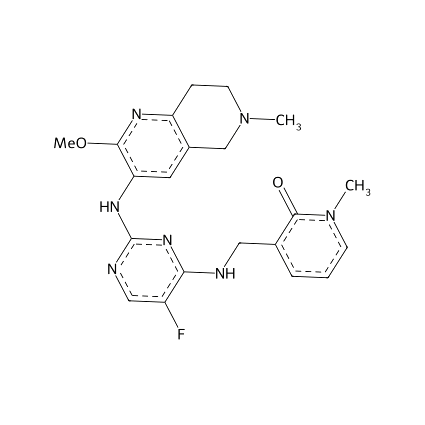 COc1nc2c(cc1Nc1ncc(F)c(NCc3cccn(C)c3=O)n1)CN(C)CC2